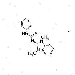 Cn1c(=NC(=S)Nc2ccccc2)n(C)c2ccccc21